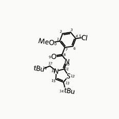 COc1ccc(Cl)cc1C(=O)N=c1sc(C(C)(C)C)cn1CC(C)(C)C